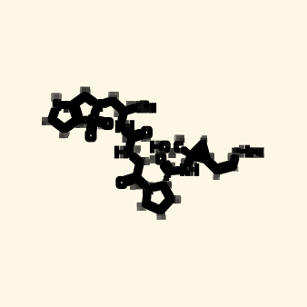 CCCCCC/C=C\C1C[C@]1(NC(=O)[C@@H]1CCCN1C(=O)CNC(=O)NC(CN1CC2=C(CCS2)S1(=O)=O)C(C)(C)C)C(=O)O